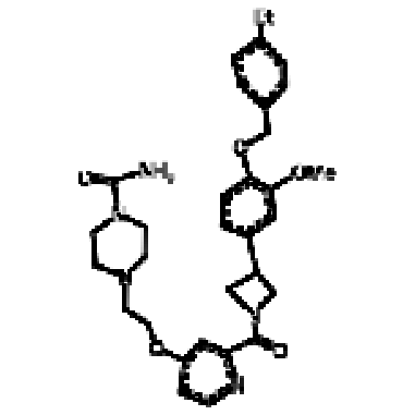 CCc1ccc(COc2ccc(C3CN(C(=O)c4cc(OCCN5CCN(C(N)=O)CC5)ccn4)C3)cc2OC)cc1